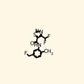 Cc1ccc(CF)cc1NC(=O)c1snnc1C(F)F